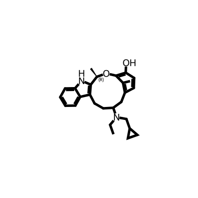 CCN(CC1CC1)C1CCc2c([nH]c3ccccc23)[C@@H](C)Oc2c(O)ccc(c2C)C1